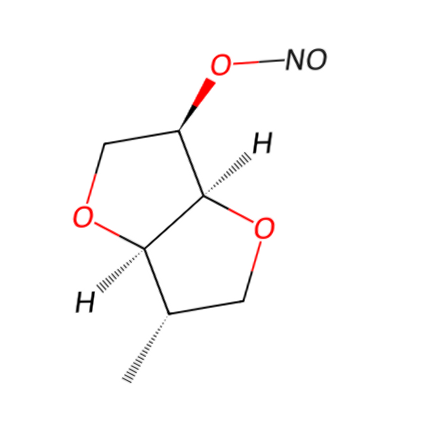 C[C@H]1CO[C@H]2[C@@H]1OC[C@H]2ON=O